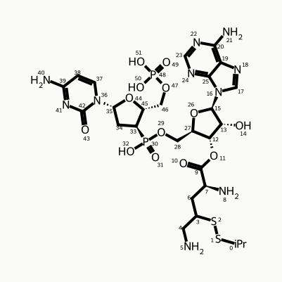 CC(C)SSC(CN)C[C@H](N)C(=O)O[C@H]1[C@@H](O)[C@H](n2cnc3c(N)ncnc32)O[C@@H]1COP(=O)(O)[C@H]1C[C@H](n2ccc(N)nc2=O)O[C@@H]1COP(=O)(O)O